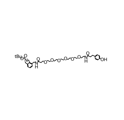 CC(C)(C)OC(=O)N1Cc2cccc(CNC(=O)CCOCCOCCOCCOCCOCCOCCNC(=O)CCc3ccc(O)cc3)c2C1